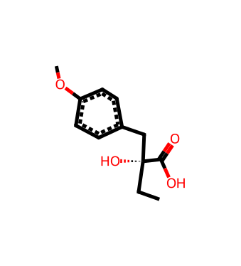 CC[C@@](O)(Cc1ccc(OC)cc1)C(=O)O